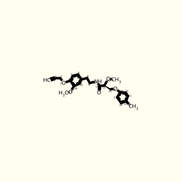 C#CCOc1ccc(CCNC(=O)[C@H](COc2ccc(C)cc2)OC)cc1OC